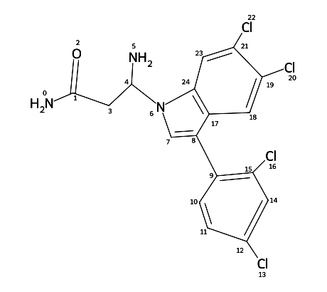 NC(=O)CC(N)n1cc(-c2ccc(Cl)cc2Cl)c2cc(Cl)c(Cl)cc21